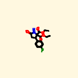 CCOC(=O)C1(C(=O)OCC)NC(=O)CC1c1ccc(F)cc1